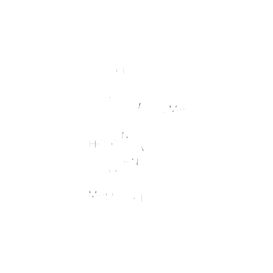 COC(=O)C(C)CNC[C@@H]1C[C@H](c2c(OC)ccc(Cl)c2Cl)CN1C(=O)O